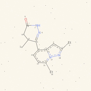 CCc1cc2c(C3=NNC(=O)CC3C)ccc(CC)n2n1